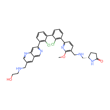 COc1nc(-c2cccc(-c3cccc(-c4cc5ncc(CNCCO)cc5cn4)c3Cl)c2Cl)ccc1CNC[C@@H]1CCC(=O)N1